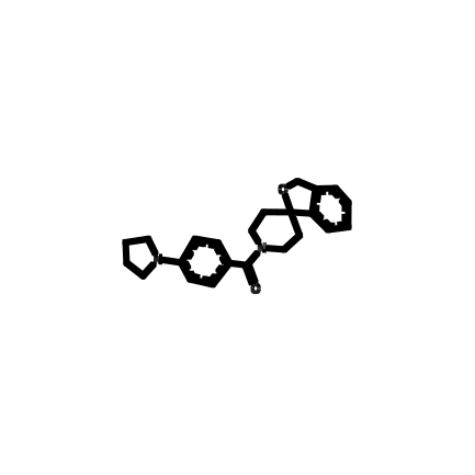 O=C(c1ccc(N2CCCC2)cc1)N1CCC2(CC1)OCc1ccccc12